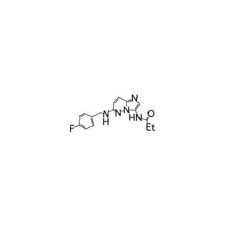 CCC(=O)Nc1cnc2ccc(NCc3ccc(F)cc3)nn12